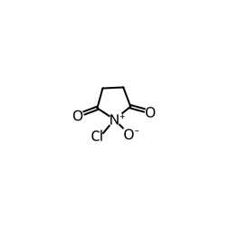 O=C1CCC(=O)[N+]1([O-])Cl